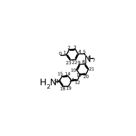 Cc1ccc(CN(C)c2ccc(C=C3C=CC(N)=CC3)cc2)cc1